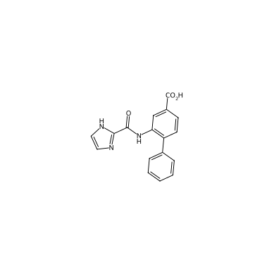 O=C(O)c1ccc(-c2ccccc2)c(NC(=O)c2ncc[nH]2)c1